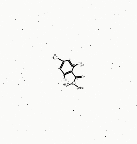 CCCCN(C)C(=O)c1c(C)cc(C)cc1C